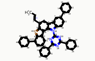 C/C=C/c1cc2c3cc(-c4ccccc4)ccc3n(-c3nc(-c4ccccc4)nc(-c4ccccc4)n3)c2c2c1sc1c(-c3ccccc3)cccc12